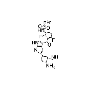 CCCS(=O)(=O)Nc1ccc(F)c(C(=O)c2c[nH]c3ncc(-c4ccc(N)c(C=N)c4)cc23)c1F